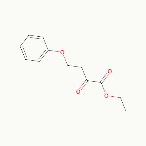 CCOC(=O)C(=O)CCOc1ccccc1